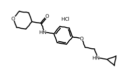 Cl.O=C(Nc1ccc(OCCNC2CC2)cc1)C1CCOCC1